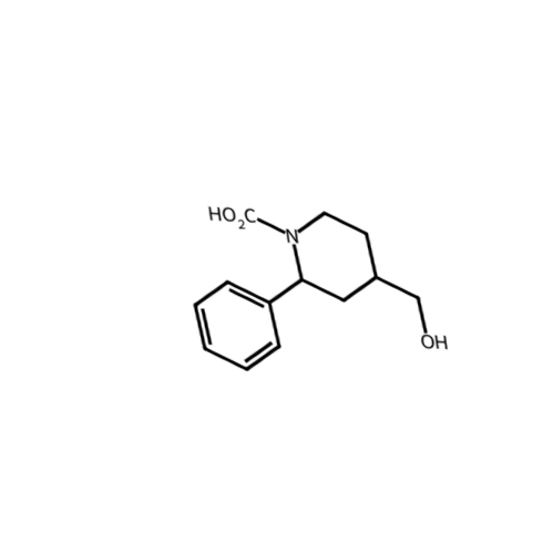 O=C(O)N1CCC(CO)CC1c1ccccc1